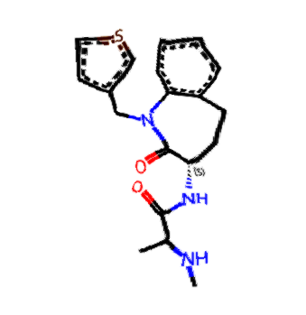 CNC(C)C(=O)N[C@H]1CCc2ccccc2N(Cc2ccsc2)C1=O